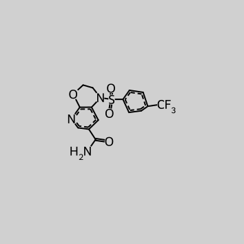 NC(=O)c1cnc2c(c1)N(S(=O)(=O)c1ccc(C(F)(F)F)cc1)CCO2